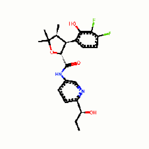 CC[C@H](O)c1ccc(NC(=O)[C@@H]2OC(C)(C)[C@@H](C)[C@H]2c2ccc(F)c(F)c2O)cn1